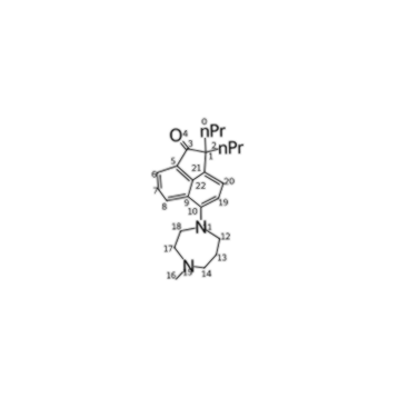 CCCC1(CCC)C(=O)c2cccc3c(N4CCCN(C)CC4)ccc1c23